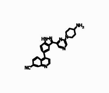 N#Cc1ccc2c(-c3ccc4[nH]nc(-c5cncc(N6CCC(N)CC6)n5)c4c3)ccnc2c1